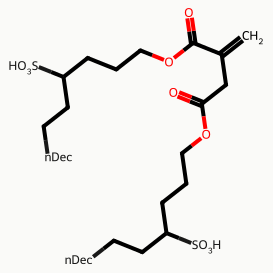 C=C(CC(=O)OCCCC(CCCCCCCCCCCC)S(=O)(=O)O)C(=O)OCCCC(CCCCCCCCCCCC)S(=O)(=O)O